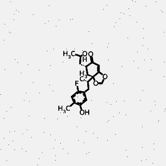 Cc1cc(F)c(C[C@H](C)[C@]23C[C@H](CC(C)O)C(=O)C=C2OCO3)cc1O